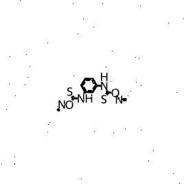 C=NOC(=S)Nc1cccc(NC(=S)ON=C)c1